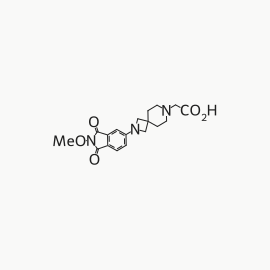 CON1C(=O)c2ccc(N3CC4(CCN(CC(=O)O)CC4)C3)cc2C1=O